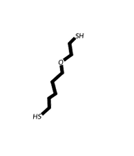 SCCCCCOCCS